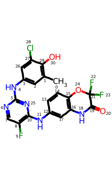 Cc1cc(Nc2ncc(F)c(Nc3ccc4c(c3)NC(=O)C(F)(F)O4)n2)cc(Cl)c1O